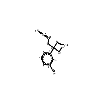 [N-]=[N+]=NCC1(c2cccc(Br)c2)COC1